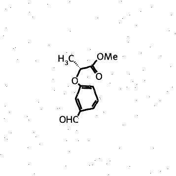 COC(=O)[C@@H](C)Oc1cccc(C=O)c1